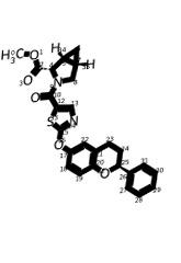 COC(=O)[C@@H]1[C@@H]2C[C@@H]2CN1C(=O)c1cnc(Oc2ccc3c(c2)CC[C@@H](c2ccccc2)O3)s1